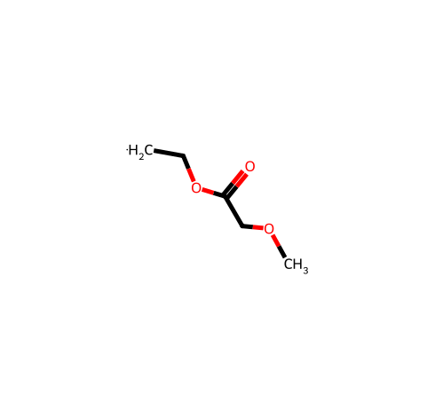 [CH2]COC(=O)COC